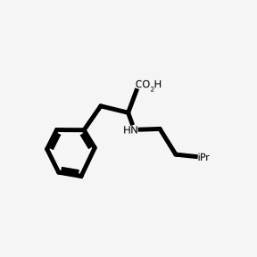 CC(C)CCNC(Cc1ccccc1)C(=O)O